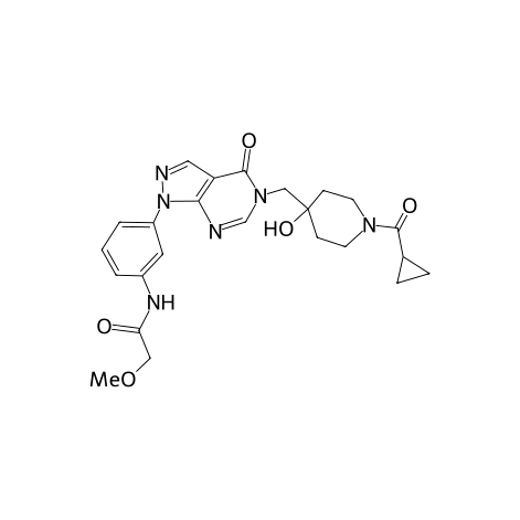 COCC(=O)Nc1cccc(-n2ncc3c(=O)n(CC4(O)CCN(C(=O)C5CC5)CC4)cnc32)c1